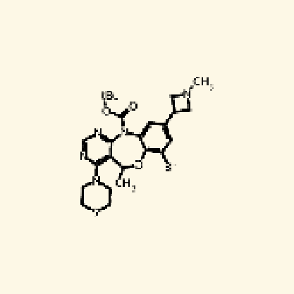 CC1Oc2c(Br)cc(C3CN(C)C3)cc2N(C(=O)OC(C)(C)C)c2ncnc(N3CCSCC3)c21